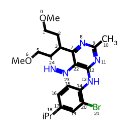 COCCC(CCOC)c1nc(C)nc(Nc2ccc(C(C)C)cc2Br)c1N=N